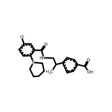 CC(CNC(=O)c1cc(Cl)ccc1N1CCCCC1)c1ccc(C(=O)O)cc1